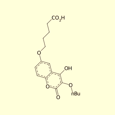 CCCCOc1c(O)c2cc(OCCCCC(=O)O)ccc2oc1=O